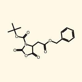 CC(C)(C)OC(=O)N1C(=O)OC(=O)C1CC(=O)OCc1ccccc1